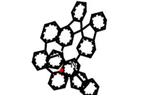 c1ccc(-c2ccc(N(c3ccc4c(c3)C3(c5ccccc5-c5ccc(N(c6ccccc6)c6ccccc6)cc53)c3ccccc3-4)c3c(-c4ccccc4)cccc3-c3ccccc3)cc2)cc1